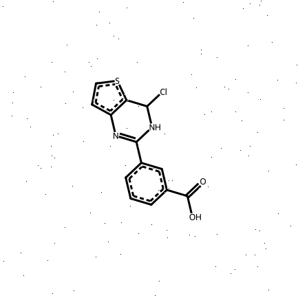 O=C(O)c1cccc(C2=Nc3ccsc3C(Cl)N2)c1